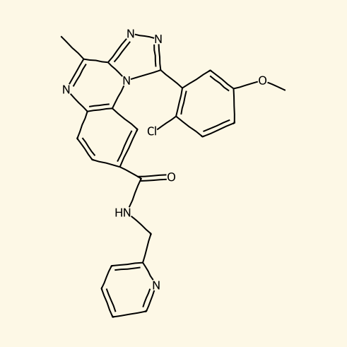 COc1ccc(Cl)c(-c2nnc3c(C)nc4ccc(C(=O)NCc5ccccn5)cc4n23)c1